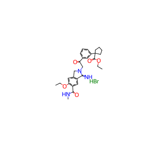 Br.CCOC(=O)C1(c2cccc(C(=O)CN3Cc4cc(OCC)c(C(=O)NC)cc4C3=N)c2)CCCC1